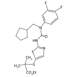 CCOC(=O)C(C)(C)Sc1cnc(NC(=O)N(CC2CCCC2)c2ccc(F)c(F)c2)s1